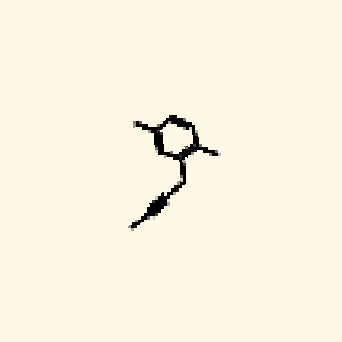 [CH2]C#CCc1cc(C)ccc1C